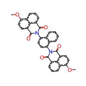 COc1ccc2c3c(cccc13)C(=O)N(c1ccc(N3C(=O)c4cccc5c(OC)ccc(c45)C3=O)c3ccccc13)C2=O